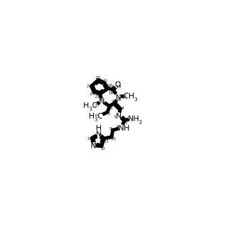 CCC1/C(=C\N=C(/N)NCCc2cnc[nH]2)N(C)C(=O)c2ccccc2N1C